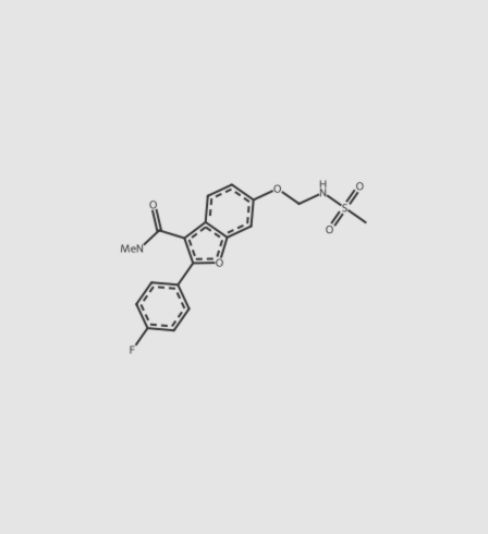 CNC(=O)c1c(-c2ccc(F)cc2)oc2cc(OCNS(C)(=O)=O)ccc12